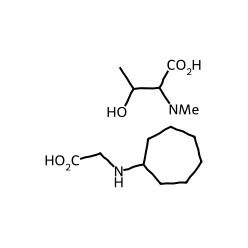 CNC(C(=O)O)C(C)O.O=C(O)CNC1CCCCCC1